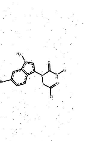 CCNC(=O)N(OC(=O)CC)c1cn(C)c2cc(Br)ccc12